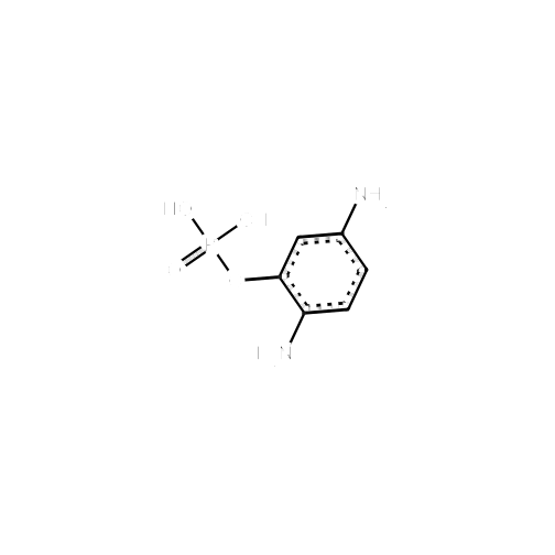 Nc1ccc(N)c(OP(=O)(O)O)c1